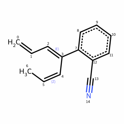 C=C/C=C(\C=C/C)c1ccccc1C#N